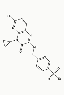 CCS(=O)(=O)c1ccc(CNc2nc3cnc(Cl)nc3n(C3CC3)c2=O)nc1